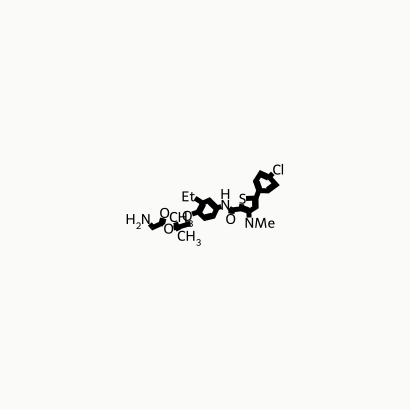 CCc1cc(NC(=O)c2sc(-c3ccc(Cl)cc3)cc2NC)ccc1OCC(C)(C)OC(=O)CN